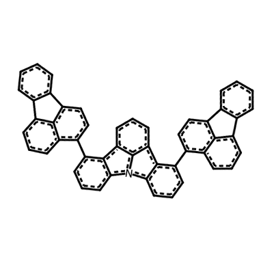 c1ccc2c(c1)-c1cccc3c(-c4cccc5c4c4cccc6c7c(-c8ccc9c%10c(cccc8%10)-c8ccccc8-9)cccc7n5c46)ccc-2c13